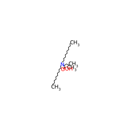 CCCCCCCCCCCCN(CCCCCCCCCCCC)C(CC(C)C)C(=O)O